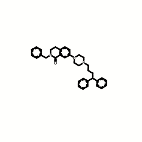 O=C1c2cc(N3CCN(CCCC(c4ccccc4)c4ccccc4)CC3)ccc2CCN1Cc1ccccc1